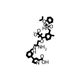 COC(=O)C(C)(C)C(OC/C(N)=C/NCc1cccc(-c2ccnc(C(=O)O)c2)c1)c1ccc(C)c(CNS(=O)(=O)c2ccccc2OC(C)C)c1